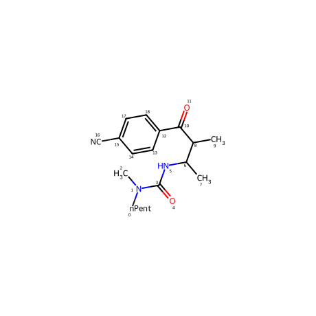 CCCCCN(C)C(=O)NC(C)C(C)C(=O)c1ccc(C#N)cc1